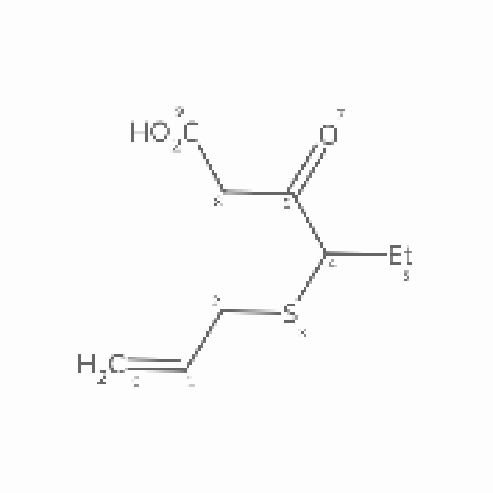 C=CCSC(CC)C(=O)CC(=O)O